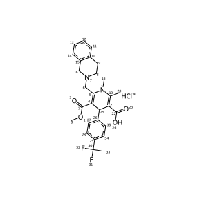 COC(=O)C1=C(CN2CCc3ccccc3C2)N(C)C(C)=C(C(=O)O)C1c1ccc(C(F)(F)F)cc1.Cl